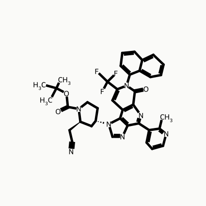 Cc1ncccc1-c1nc2c(=O)n(-c3cccc4ccccc34)c(C(F)(F)F)cc2c2c1ncn2[C@H]1CCN(C(=O)OC(C)(C)C)[C@H](CC#N)C1